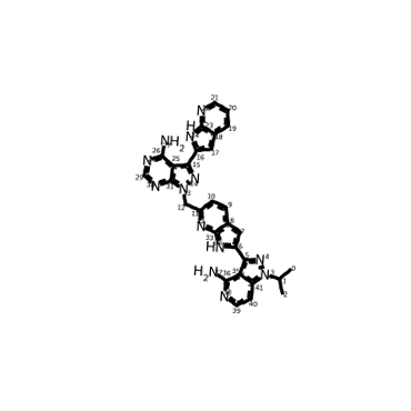 CC(C)n1nc(-c2cc3ccc(Cn4nc(-c5cc6cccnc6[nH]5)c5c(N)ncnc54)nc3[nH]2)c2c(N)nccc21